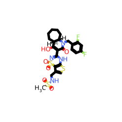 CS(=O)(=O)NCc1csc2c1S(=O)(=O)N=C(C1=C(O)[C@@H]3CCCCC[C@@H]3N(Cc3ccc(F)cc3F)C1=O)N2